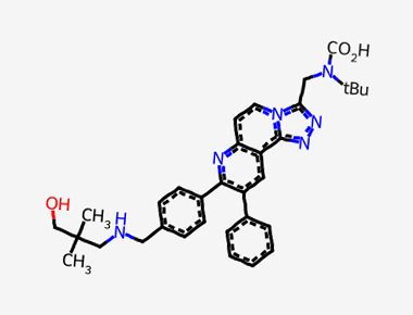 CC(C)(CO)CNCc1ccc(-c2nc3ccn4c(CN(C(=O)O)C(C)(C)C)nnc4c3cc2-c2ccccc2)cc1